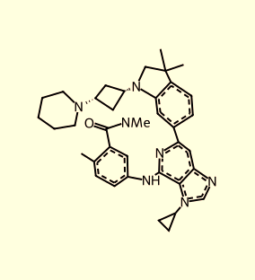 CNC(=O)c1cc(Nc2nc(-c3ccc4c(c3)N([C@H]3C[C@@H](N5CCCCC5)C3)CC4(C)C)cc3ncn(C4CC4)c23)ccc1C